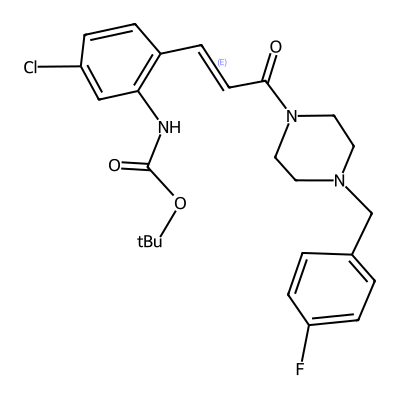 CC(C)(C)OC(=O)Nc1cc(Cl)ccc1/C=C/C(=O)N1CCN(Cc2ccc(F)cc2)CC1